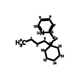 CCCCC1(Sc2ccccn2)CCCCC1